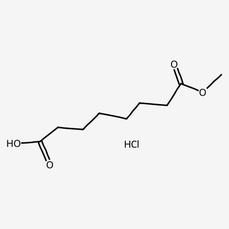 COC(=O)CCCCCCC(=O)O.Cl